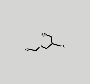 CC(CN)COCO